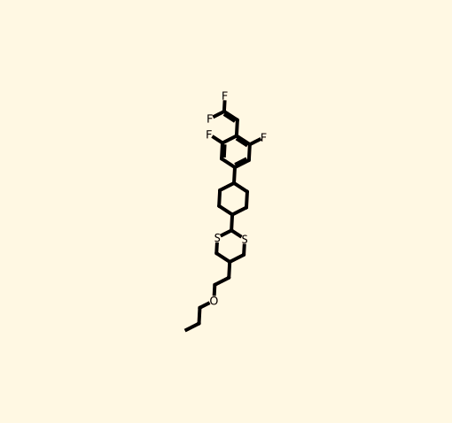 CCCOCCC1CSC(C2CCC(c3cc(F)c(C=C(F)F)c(F)c3)CC2)SC1